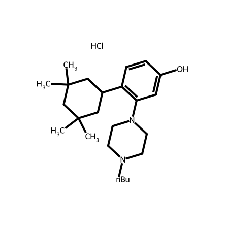 CCCCN1CCN(c2cc(O)ccc2C2CC(C)(C)CC(C)(C)C2)CC1.Cl